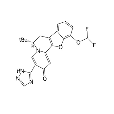 CC(C)(C)[C@@H]1Cc2c(oc3c(OC(F)F)cccc23)-c2cc(=O)c(-c3ncn[nH]3)cn21